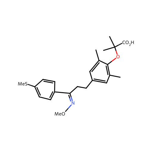 CON=C(CCc1cc(C)c(OC(C)(C)C(=O)O)c(C)c1)c1ccc(SC)cc1